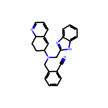 N#Cc1ccccc1CN(Cc1nc2ccccc2[nH]1)C1C=C2C=CC=NC2CC1